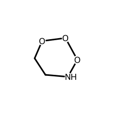 C1COOON1